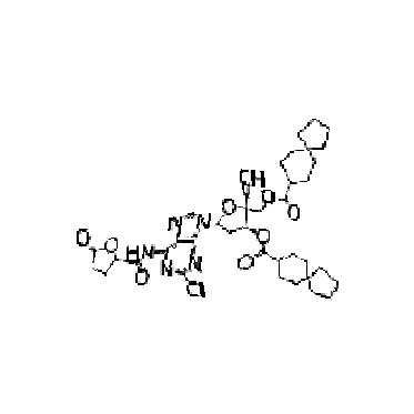 C#C[C@]1(COC(=O)C2CCC3(CCCC3)CC2)O[C@@H](n2cnc3c(NC(=O)[C@H]4CCC(=O)O4)nc(Cl)nc32)C[C@@H]1OC(=O)C1CCC2(CCCC2)CC1